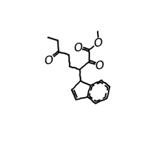 CCC(=O)CCC(C(=O)C(=O)OC)C1C=Cc2ccccc21